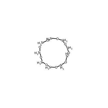 O1[SiH2]O[SiH2]O[SiH2]O[SiH2]O[SiH2]O[SiH2]O[SiH2]O[SiH2]O[SiH2]1